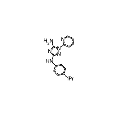 CC(C)c1ccc(Nc2nc(N)n(-c3ccccn3)n2)cc1